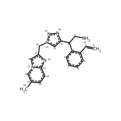 C=Cc1ccccc1C(CN)c1cn(Cc2cn3cc(C)ccc3n2)nn1